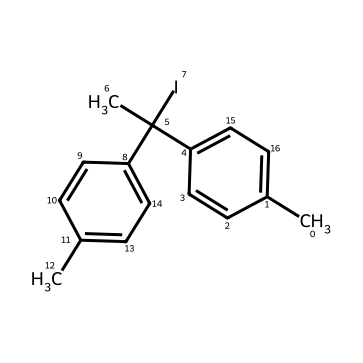 Cc1ccc(C(C)(I)c2ccc(C)cc2)cc1